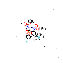 CC(C)(C)OC(=O)N1CC2N(C(=O)OC(C)(C)C)CCC2(S(=O)(=O)c2ccc(F)cc2)c2ccc(C(F)(C(F)(F)F)C(F)(F)F)cc21